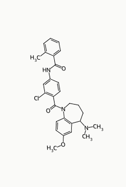 COc1ccc2c(c1)C(N(C)C)CCCN2C(=O)c1ccc(NC(=O)c2ccccc2C)cc1Cl